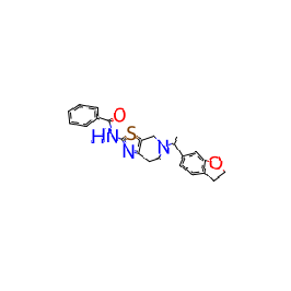 CC(c1ccc2c(c1)OCC2)N1CCc2nc(NC(=O)c3ccccc3)sc2C1